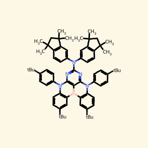 CC(C)(C)c1ccc(N2c3ccc(C(C)(C)C)cc3B3c4cc(C(C)(C)C)ccc4N(c4ccc(C(C)(C)C)cc4)c4nc(N(c5ccc6c(c5)C(C)(C)CC6(C)C)c5ccc6c(c5)C(C)(C)CC6(C)C)nc2c43)cc1